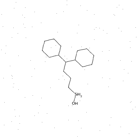 O[SiH2]CCCC(C1CCCCC1)C1CCCCC1